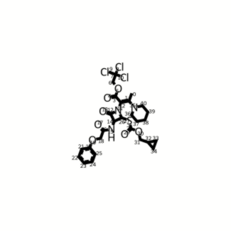 CC(=C(C(=O)OCC(Cl)(Cl)Cl)N1C(=O)C(NC(=O)COc2ccccc2)C1SC(=O)OCC1CC1)N1CCCCC1